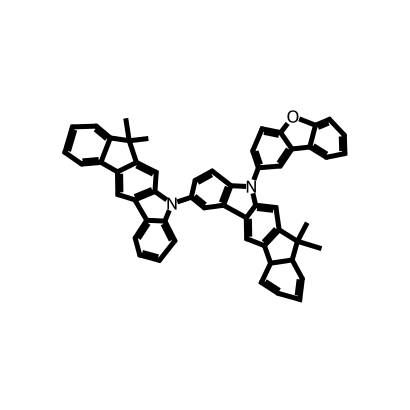 CC1(C)c2ccccc2-c2cc3c4ccccc4n(-c4ccc5c(c4)c4cc6c(cc4n5-c4ccc5oc7ccccc7c5c4)C(C)(C)C4C=CC=CC64)c3cc21